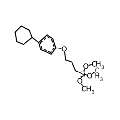 CO[Si](CCCOc1ccc(C2CCCCC2)cc1)(OC)OC